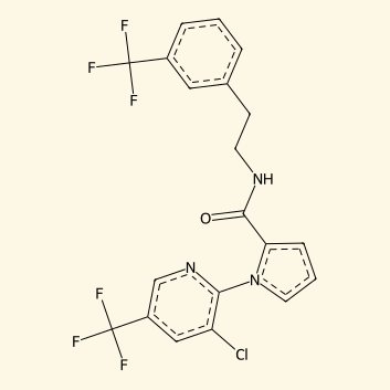 O=C(NCCc1cccc(C(F)(F)F)c1)c1cccn1-c1ncc(C(F)(F)F)cc1Cl